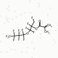 C=C(C)C(=O)OC(F)(CF)C(F)(F)OC(F)(F)C(F)(F)C(F)(F)C(F)(F)F